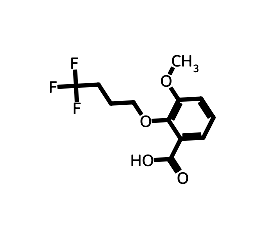 COc1cccc(C(=O)O)c1OCCCC(F)(F)F